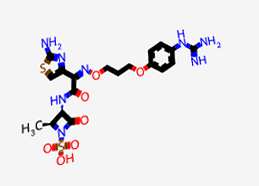 C[C@H]1[C@H](NC(=O)C(=NOCCCOc2ccc(NC(=N)N)cc2)c2csc(N)n2)C(=O)N1S(=O)(=O)O